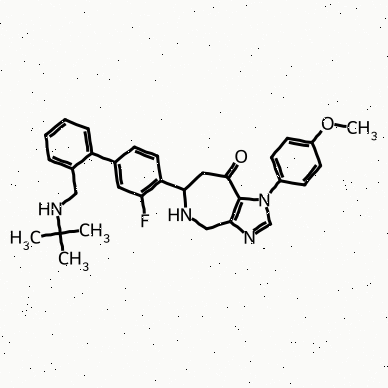 COc1ccc(-n2cnc3c2C(=O)CC(c2ccc(-c4ccccc4CNC(C)(C)C)cc2F)NC3)cc1